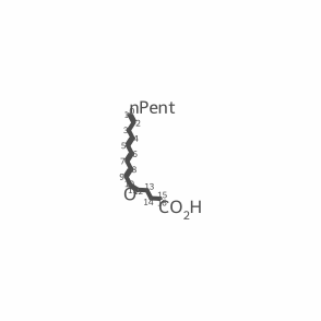 CCCCCC=CCC=CC=CC=CC1OC1CCCC(=O)O